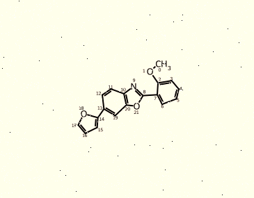 COc1ccccc1-c1nc2ccc(-c3ccco3)cc2o1